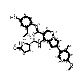 CCc1cc(O)ccc1/N=C(\N)c1cnn2cc(-c3cnc(OC)cc3C)cc2c1NC[C@H]1CCC(=O)N1